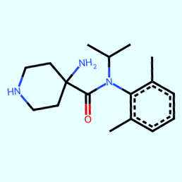 Cc1cccc(C)c1N(C(=O)C1(N)CCNCC1)C(C)C